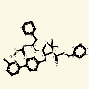 Cc1cccc(-c2ccc(C[C@H]3[C@H](C[C@H](Cc4ccccc4)NC(=O)OC(C)(C)C)OC(C)(C)N3C(=O)OCc3ccccc3)cc2)n1